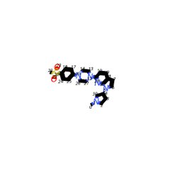 CN1CC[C@H](n2ccc3ccc(N4CCN(c5ccc(S(C)(=O)=O)cc5)CC4)nc32)C1